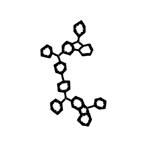 C1=CC2c3cc(N(c4ccccc4)c4ccc(-c5ccc(N(c6ccccc6)c6ccc7c(c6)c6ccccc6n7-c6ccccc6)cc5)cc4)ccc3N(c3ccccc3)C2C=C1